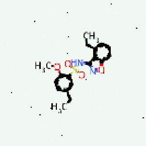 CCc1ccc(OC)c(S(=O)(=O)Nc2noc3cccc(CC)c23)c1